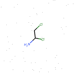 NC(Cl)CCl